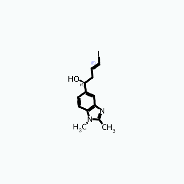 Cc1nc2cc([C@@H](O)C/C=C/I)ccc2n1C